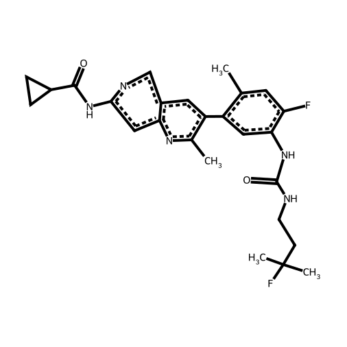 Cc1cc(F)c(NC(=O)NCCC(C)(C)F)cc1-c1cc2cnc(NC(=O)C3CC3)cc2nc1C